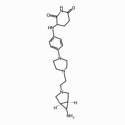 NC1[C@H]2CN(CCN3CCN(c4ccc(NC5CCC(=O)NC5=O)cc4)CC3)C[C@@H]12